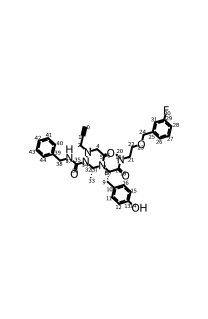 C#CCN1CC(=O)N([C@@H](Cc2ccc(O)cc2)C(=O)N(C)CCOCc2cccc(F)c2)[C@H](C)N1C(=O)NCc1ccccc1